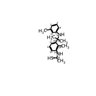 Cc1cccc(NC(C)(C)c2cccc(NC(C)S)c2C)c1